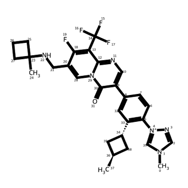 Cn1cn[n+](-c2ccc(-c3cnc4c(C(F)(F)F)c(F)c(CNC5(C)CCC5)cn4c3=O)cc2[C@H]2C[C@H](C)C2)c1